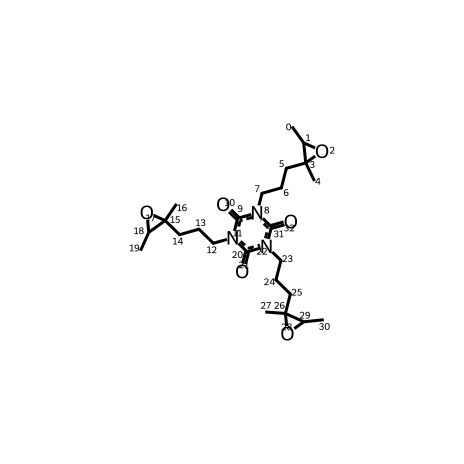 CC1OC1(C)CCCn1c(=O)n(CCCC2(C)OC2C)c(=O)n(CCCC2(C)OC2C)c1=O